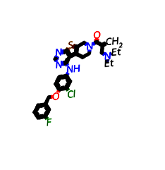 C=C(CN(CC)CC)C(=O)N1CCc2c(sc3ncnc(Nc4ccc(OCc5cccc(F)c5)c(Cl)c4)c23)C1